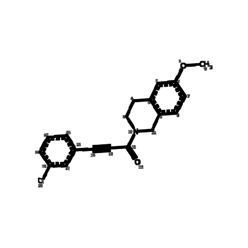 COc1ccc2c(c1)CCN(C(=O)C#Cc1cccc(Cl)c1)C2